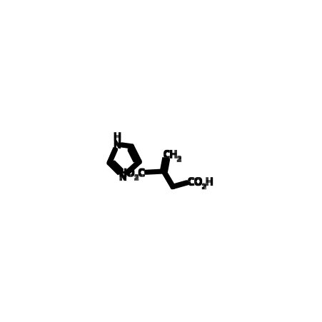 C=C(CC(=O)O)C(=O)O.c1c[nH]cn1